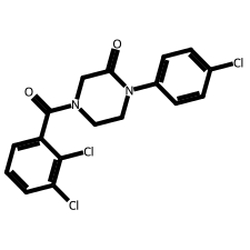 O=C(c1cccc(Cl)c1Cl)N1CCN(c2ccc(Cl)cc2)C(=O)C1